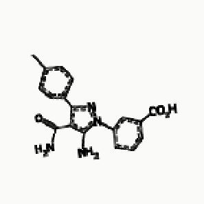 Cc1ccc(-c2nn(-c3cccc(C(=O)O)c3)c(N)c2C(N)=O)cc1